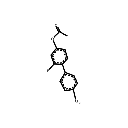 O=C(I)Oc1ccc(-c2ccc(C(F)(F)F)cc2)c(F)c1